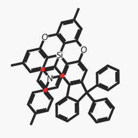 Cc1ccc(N2c3cc(C)cc4c3[Si]3(c5ccccc5)c5c(cc(C)cc5Oc5cc6c(c2c53)-c2ccccc2C6(c2ccccc2)c2ccccc2)O4)cc1